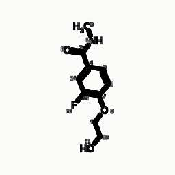 CNC(=O)c1ccc(OCCO)c(F)c1